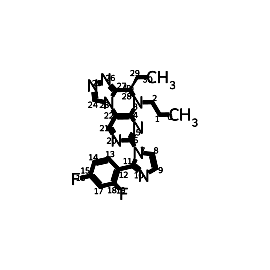 CCCN1c2nc(-n3ccnc3-c3ccc(F)cc3F)ncc2-n2cnnc2[C@H]1CC